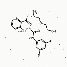 CC(=NNC(=O)Nc1cc(F)cc(F)c1)c1ncccc1C(=O)O.NCCOCCO